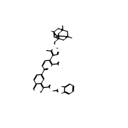 Cc1c(-c2ccc(-c3ccc4c[n+]([O-])cc(C(=O)Nc5nc6ccccc6s5)c4c3)nc2C(=O)O)cnn1CC12CC3(C)CC(C)(CC(O)(C3)C1)C2